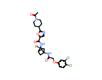 CC(=O)N1CCC(c2ncc(C(=O)N[C@@H]3CC4(NC(=O)COc5ccc(Cl)c(Cl)c5)CC3C4)o2)CC1